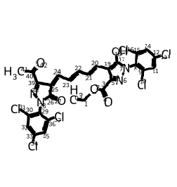 CCOC(=O)c1nn(-c2c(Cl)cc(Cl)cc2Cl)c(O)c1/C=C/C=C/C=C1\C(=O)N(c2c(Cl)cc(Cl)cc2Cl)N=C1C(C)=O